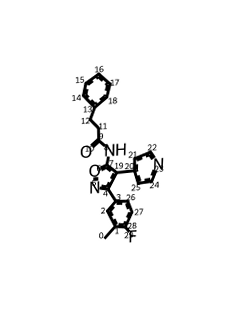 Cc1cc(-c2noc(NC(=O)CCc3ccccc3)c2-c2ccncc2)ccc1F